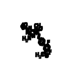 Cn1c(=O)n(CCN2CCN(c3cc([S@@+](C)[O-])c(F)cc3F)CC2)c2nc(N)n3nc(-c4ccco4)nc3c21